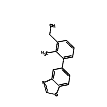 Cc1c(CO)cccc1-c1ccc2ocnc2c1